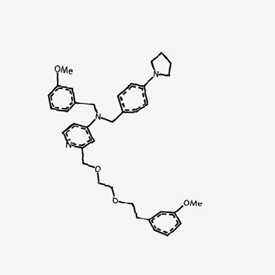 COc1cccc(CCOCCOCc2cc(N(Cc3ccc(N4CCCC4)cc3)Cc3cccc(OC)c3)ccn2)c1